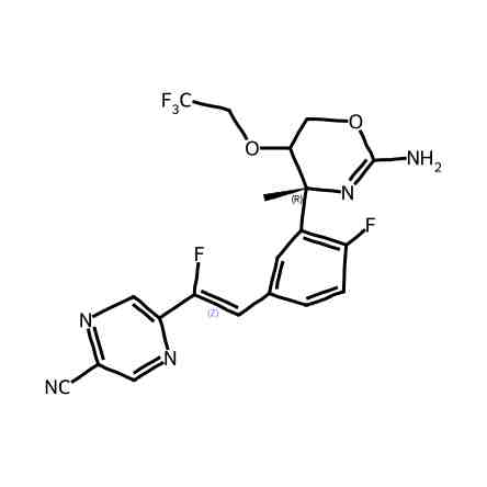 C[C@]1(c2cc(/C=C(\F)c3cnc(C#N)cn3)ccc2F)N=C(N)OCC1OCC(F)(F)F